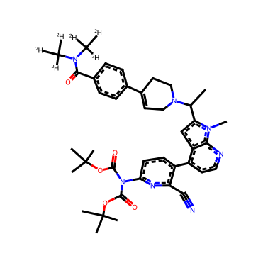 [2H]C([2H])([2H])N(C(=O)c1ccc(C2=CCN(C(C)c3cc4c(-c5ccc(N(C(=O)OC(C)(C)C)C(=O)OC(C)(C)C)nc5C#N)ccnc4n3C)CC2)cc1)C([2H])([2H])[2H]